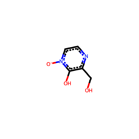 [O-][n+]1ccnc(CO)c1O